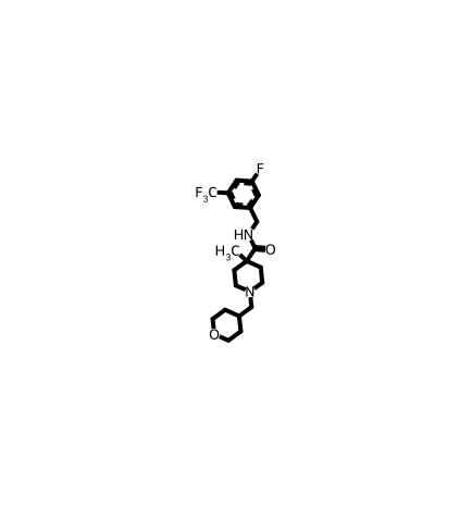 CC1(C(=O)NCc2cc(F)cc(C(F)(F)F)c2)CCN(CC2CCOCC2)CC1